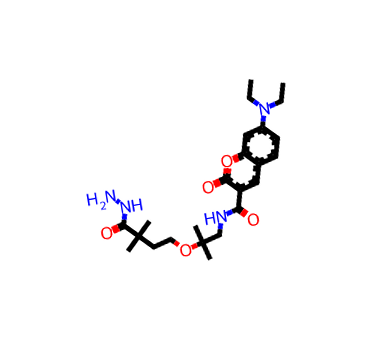 CCN(CC)c1ccc2cc(C(=O)NCC(C)(C)OCCC(C)(C)C(=O)NN)c(=O)oc2c1